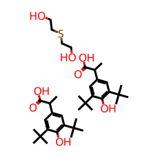 CC(C(=O)O)c1cc(C(C)(C)C)c(O)c(C(C)(C)C)c1.CC(C(=O)O)c1cc(C(C)(C)C)c(O)c(C(C)(C)C)c1.OCCSCCO